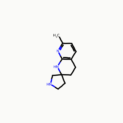 Cc1ccc2c(n1)NC1(CCNC1)CC2